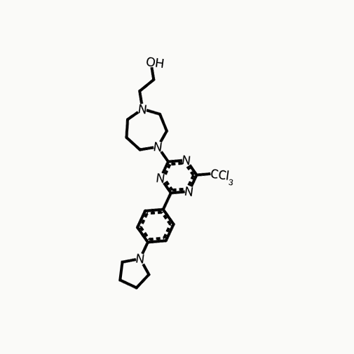 OCCN1CCCN(c2nc(-c3ccc(N4CCCC4)cc3)nc(C(Cl)(Cl)Cl)n2)CC1